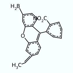 Bc1ccc2c(c1)Oc1cc(=CC)ccc1=C2c1ccccc1C(=O)O